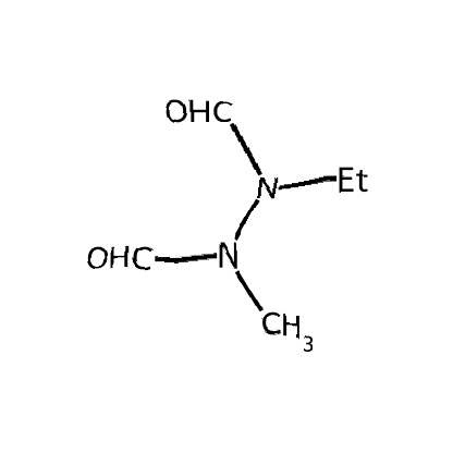 CCN(C=O)N(C)C=O